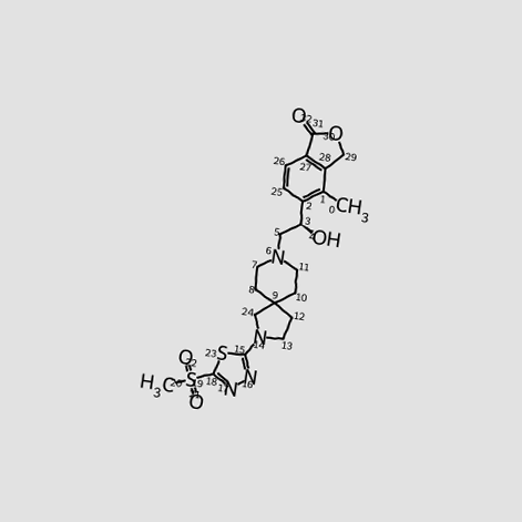 Cc1c([C@@H](O)CN2CCC3(CC2)CCN(c2nnc(S(C)(=O)=O)s2)C3)ccc2c1COC2=O